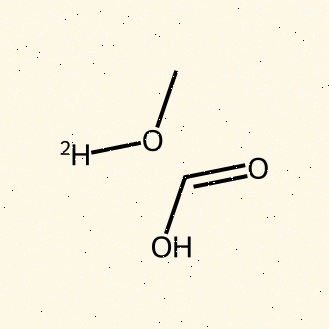 O=CO.[2H]OC